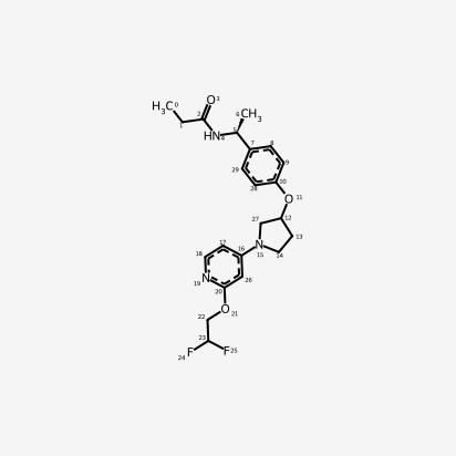 CCC(=O)N[C@@H](C)c1ccc(OC2CCN(c3ccnc(OCC(F)F)c3)C2)cc1